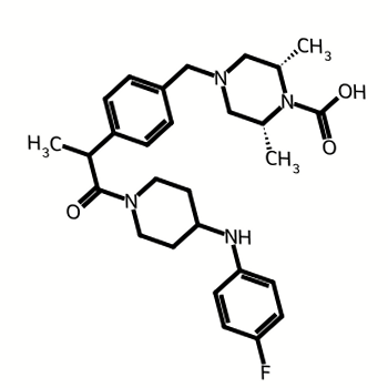 CC(C(=O)N1CCC(Nc2ccc(F)cc2)CC1)c1ccc(CN2C[C@@H](C)N(C(=O)O)[C@@H](C)C2)cc1